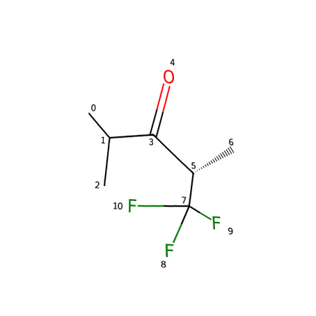 CC(C)C(=O)[C@H](C)C(F)(F)F